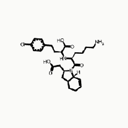 NCCCC[C@H](N[C@@H](CCc1ccc(Cl)cc1)C(=O)O)C(=O)N1C(CC(=O)O)CC2CCC=C[C@H]21